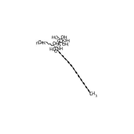 CC#CC#CC#CC#CC#CC#CC#CC#CC#CC#CC#CC#CC(=O)N[C@@H](CS[C@H]1OC(CO)[C@H](O)[C@H](O)C1O)[C@H](O)[C@H](O)CCCCCCCCCCCCCC